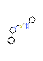 c1ccc(C2CCN(CSCNC3CCCC3)C2)cc1